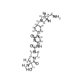 CC(N)(CO)C(=O)N1CCN(C(=O)Nc2ccn(-c3ccc(CN4C[C@@H]5[C@@H](CN)[C@@H]5C4)cc3)c(=O)n2)CC1